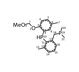 COCOc1ccc(C)cc1Pc1c(C)cccc1CP(C)C